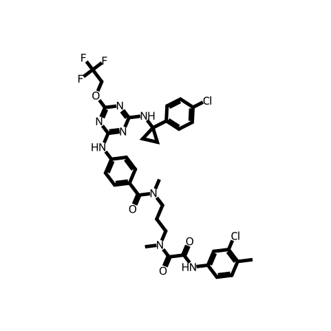 Cc1ccc(NC(=O)C(=O)N(C)CCCN(C)C(=O)c2ccc(Nc3nc(NC4(c5ccc(Cl)cc5)CC4)nc(OCC(F)(F)F)n3)cc2)cc1Cl